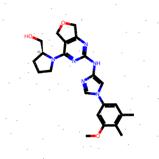 COc1cc(-n2cnc(Nc3nc4c(c(N5CCC[C@H]5CO)n3)COC4)c2)cc(C)c1C